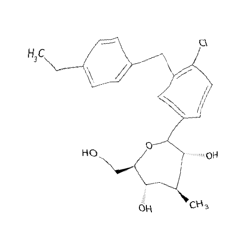 CCc1ccc(Cc2cc(C3O[C@H](CO)[C@@H](O)[C@H](C)[C@H]3O)ccc2Cl)cc1